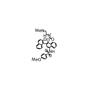 CNCCN(C)C(=O)Oc1c(-c2c(O)ccc3ccccc23)cc(NS(=O)(=O)c2ccc(OC)cc2)c2ccccc12